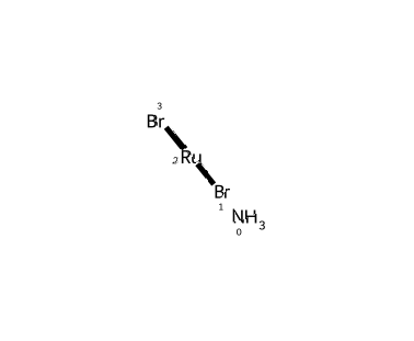 N.[Br][Ru][Br]